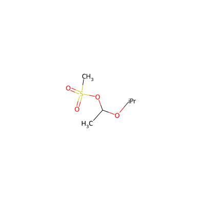 CC(C)OC(C)OS(C)(=O)=O